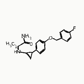 C[C@@H](NC1CC1c1ccc(OCc2ccc(F)cc2)cc1)C(N)=O